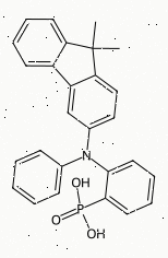 CC1(C)c2ccccc2-c2cc(N(c3ccccc3)c3ccccc3P(=O)(O)O)ccc21